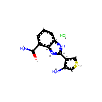 Cl.NC(=O)c1cccc2[nH]c(-c3cscc3N)nc12